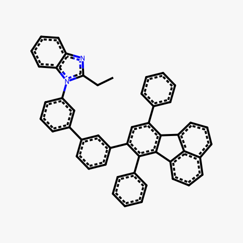 CCc1nc2ccccc2n1-c1cccc(-c2cccc(-c3cc(-c4ccccc4)c4c(c3-c3ccccc3)-c3cccc5cccc-4c35)c2)c1